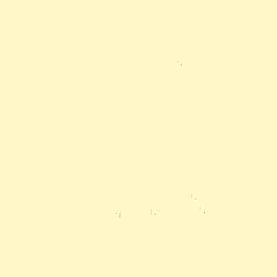 CCN1CCC(c2ccc(-c3cc4c(N5CCN(C(=O)C6CC6)CC5)ccnn4c3)cc2)C(F)C1